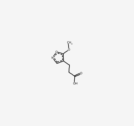 COc1oncc1CCC(=O)O